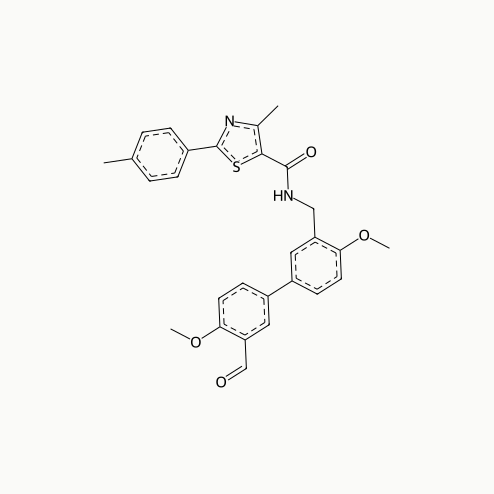 COc1ccc(-c2ccc(OC)c(CNC(=O)c3sc(-c4ccc(C)cc4)nc3C)c2)cc1C=O